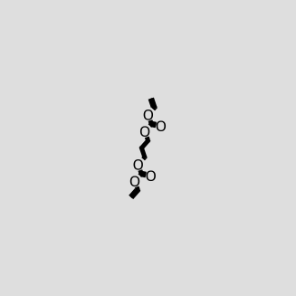 C=COC(=O)OCCCOC(=O)OC=C